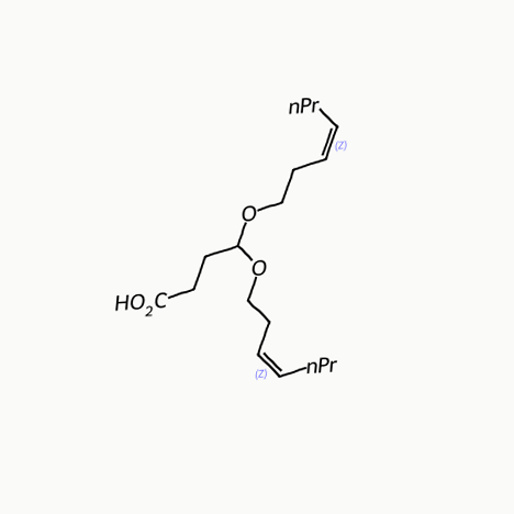 CCC/C=C\CCOC(CCC(=O)O)OCC/C=C\CCC